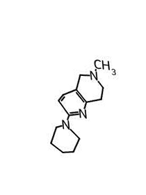 CN1CCc2nc(N3CCCCC3)ccc2C1